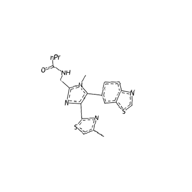 CCCC(=O)NCc1nc(-c2nc(C)cs2)c(-c2ccc3ncsc3c2)n1C